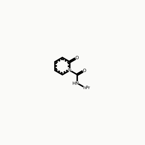 CCCNC(=O)n1ccccc1=O